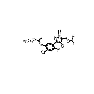 CCOC(=O)C(C)Sc1cc(-c2n[nH]c(COC(F)F)c2Cl)c(F)cc1Cl